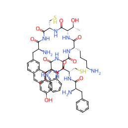 C[C@@H](O)[C@H](NC(=O)[C@H](CCCCN)NC(=O)[C@@H](Cc1c[nH]c2ccccc12)NC(=O)[C@H](Cc1ccc(O)cc1)NC(=O)[C@H](CS)NC(=O)[C@H](N)Cc1ccccc1)C(=O)N[C@@H](CS)C(=O)NC(=O)[C@@H](N)Cc1ccc2ccccc2c1